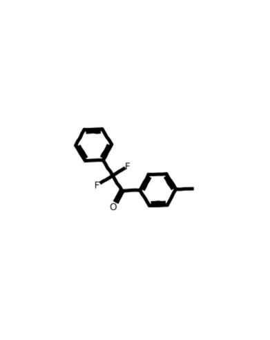 Cc1ccc(C(=O)C(F)(F)c2ccccc2)cc1